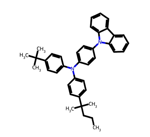 CCCC(C)(C)c1ccc(N(c2ccc(-n3c4ccccc4c4ccccc43)cc2)c2ccc(C(C)(C)C)cc2)cc1